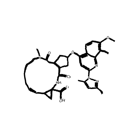 COc1ccc2c(OC3CC4C(=O)NC5(C(=O)O)CC5/C=C\CCCCN(C)C(=O)C4C3)cc(-n3nc(C)cc3C)nc2c1C